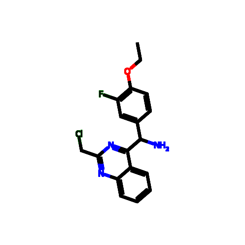 CCOc1ccc(C(N)c2nc(CCl)nc3ccccc23)cc1F